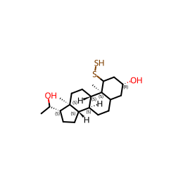 CC(O)[C@H]1CC[C@H]2[C@@H]3CCC4C[C@@H](O)CC(SS)[C@]4(C)[C@H]3CC[C@]12C